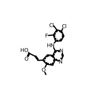 COc1cc2ncnc(Nc3ccc(Cl)c(Cl)c3F)c2cc1C=CC(=O)O